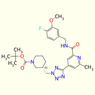 COc1cc(CNC(=O)c2cc(-c3nnn(C[C@H]4CCCN(C(=O)OC(C)(C)C)C4)n3)cc(C)n2)ccc1F